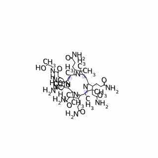 C/C1=C2N=C(/C=C3N=C(/C(C)=C4\[N]([Co]([C]#N)[C]#N)C(C(CC(N)=O)C4(C)CCC(=O)NCC(C)O)C4(C)N=C1C(CCC(N)=O)C4(C)CC(N)=O)C(CCC(N)=O)C\3(C)C)C(CCC(N)=O)C/2(C)CC(N)=O